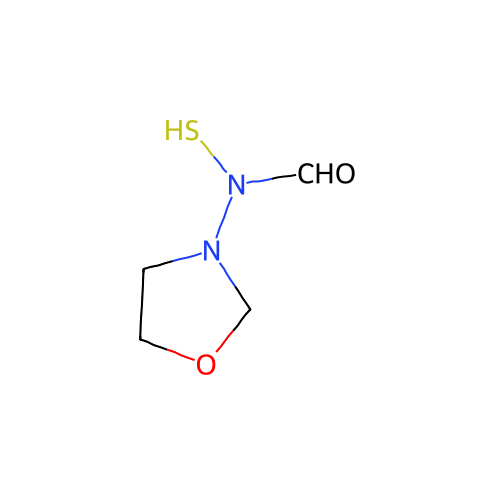 O=CN(S)N1CCOC1